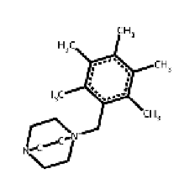 Cc1c(C)c(C)c(C[N+]23CCN(CC2)CC3)c(C)c1C